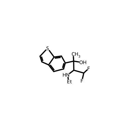 CCNC(C(F)F)C(C)(O)c1ccc2ccsc2c1